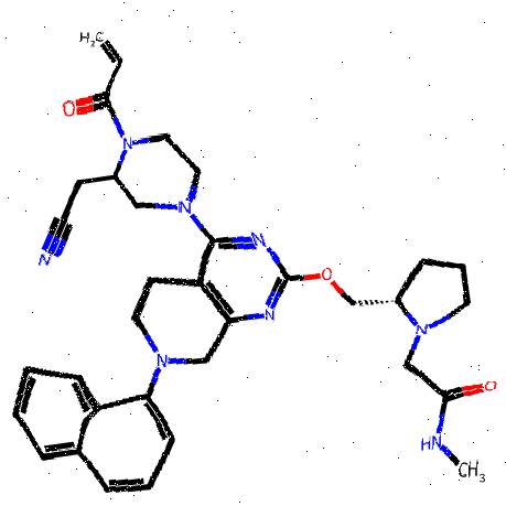 C=CC(=O)N1CCN(c2nc(OC[C@@H]3CCCN3CC(=O)NC)nc3c2CCN(c2cccc4ccccc24)C3)CC1CC#N